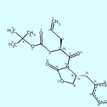 C=CC[C@H](CC(=O)OC(C)(C)C)C(=O)N1C(=O)OC[C@H]1Cc1ccccc1